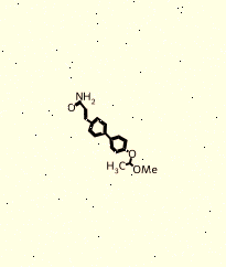 COC(C)Oc1ccc(-c2ccc(C=CC(N)=O)cc2)cc1